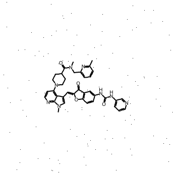 Cc1cccc(CN(C)C(=O)C2CCN(c3ccnc4c3c(C=C3Oc5ccc(NC(=O)Nc6cccnc6)cc5C3=O)cn4C)CC2)n1